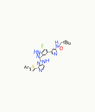 CC(=O)c1ccc(-c2nccc3[nH]c(-c4n[nH]c5c(F)cc(-c6cncc(NC(=O)CC(C)(C)C)c6)cc45)nc23)s1